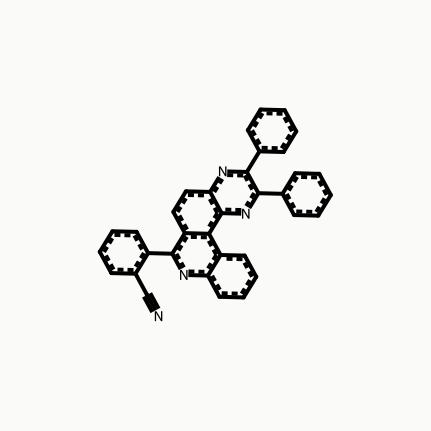 N#Cc1ccccc1-c1nc2ccccc2c2c1ccc1nc(-c3ccccc3)c(-c3ccccc3)nc12